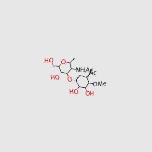 CO[C@H]1C(O)C(O)[C@H](O[C@@H]2C(NC(C)=O)[C@H](C)OC(CO)[C@H]2O)C[C@H]1C(C)=O